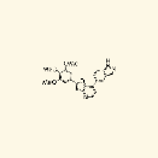 COc1cc(-c2cc3nccc(-c4ccc5[nH]ncc5c4)c3o2)cc(OC)c1OC